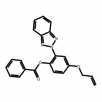 C=CCOc1ccc(OC(=O)c2ccccc2)c(-n2nc3ccccc3n2)c1